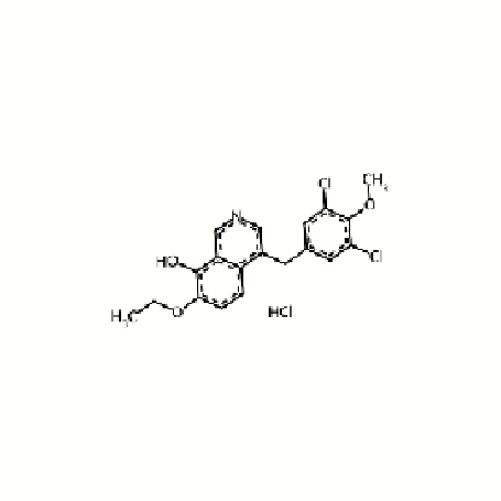 CCOc1ccc2c(Cc3cc(Cl)c(OC)c(Cl)c3)cncc2c1O.Cl